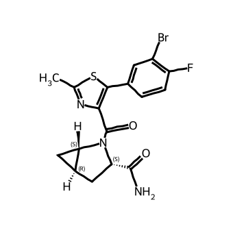 Cc1nc(C(=O)N2[C@H](C(N)=O)C[C@H]3C[C@@H]32)c(-c2ccc(F)c(Br)c2)s1